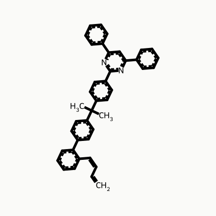 C=C/C=C\c1ccccc1-c1ccc(C(C)(C)c2ccc(-c3nc(-c4ccccc4)cc(-c4ccccc4)n3)cc2)cc1